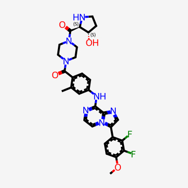 COc1ccc(-c2cnc3c(Nc4ccc(C(=O)N5CCN(C(=O)[C@H]6NCC[C@@H]6O)CC5)c(C)c4)nccn23)c(F)c1F